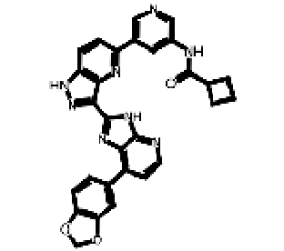 O=C(Nc1cncc(-c2ccc3[nH]nc(-c4nc5c(-c6ccc7c(c6)OCO7)ccnc5[nH]4)c3n2)c1)C1CCC1